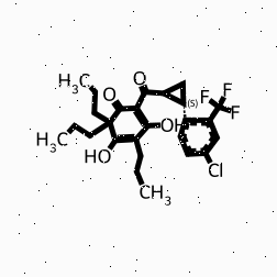 CCCC1=C(O)C(CCC)(CCC)C(=O)C(C(=O)C2C[C@@H]2c2ccc(Cl)cc2C(F)(F)F)=C1O